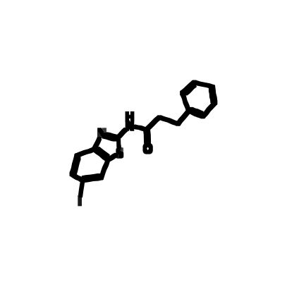 O=C(CCc1ccccc1)Nc1nc2ccc(I)cc2s1